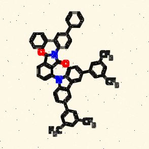 O=C1c2cccc(-n3c4ccc(-c5cc(C(F)(F)F)cc(C(F)(F)F)c5)cc4c4cc(-c5cc(C(F)(F)F)cc(C(F)(F)F)c5)ccc43)c2C(=O)N1c1ccc(-c2ccccc2)cc1-c1ccccc1